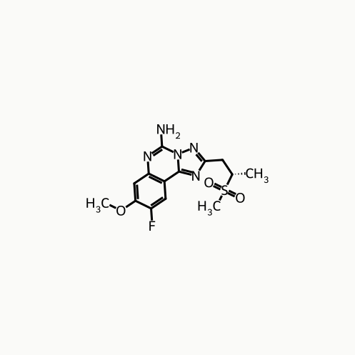 COc1cc2nc(N)n3nc(C[C@H](C)S(C)(=O)=O)nc3c2cc1F